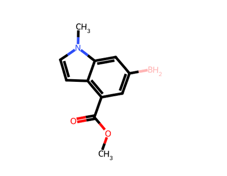 Bc1cc(C(=O)OC)c2ccn(C)c2c1